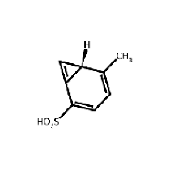 CC1=CC=C(S(=O)(=O)O)C2=C[C@H]12